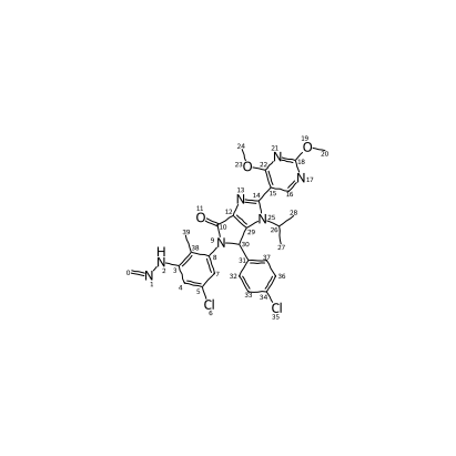 C=NNc1cc(Cl)cc(N2C(=O)c3nc(-c4cnc(OC)nc4OC)n(C(C)C)c3C2c2ccc(Cl)cc2)c1C